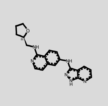 c1cnc2[nH]nc(Nc3ccc4c(NC[C@H]5CCCO5)nccc4c3)c2c1